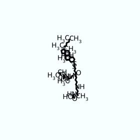 CC(C)CCCC(C)[C@H]1CC[C@H]2[C@@H]3CC=C4C[C@@H](SSCCC(=O)N(CCCCNCCC(C)NC(=O)O)CCC(C)NC(=O)OC(C)(C)C)CC[C@]4(C)[C@H]3CC[C@]12C